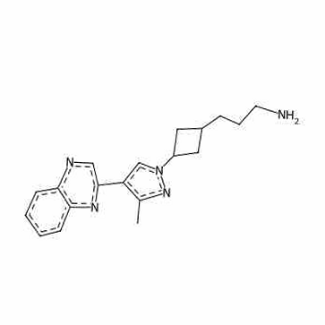 Cc1nn(C2CC(CCCN)C2)cc1-c1cnc2ccccc2n1